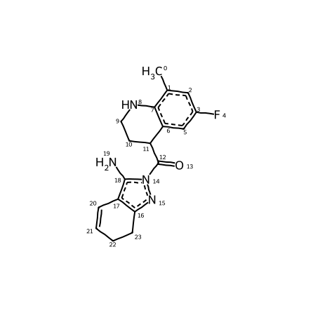 Cc1cc(F)cc2c1NCCC2C(=O)n1nc2c(c1N)C=CCC2